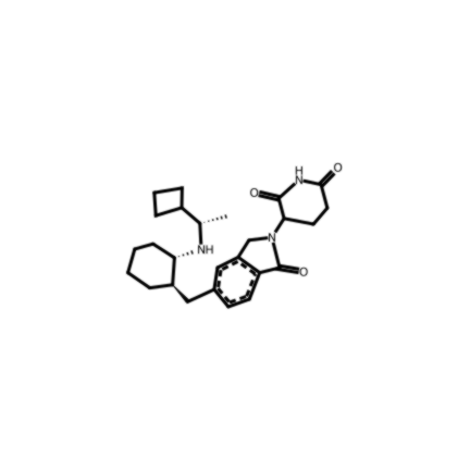 C[C@H](N[C@H]1CCCC[C@@H]1Cc1ccc2c(c1)CN(C1CCC(=O)NC1=O)C2=O)C1CCC1